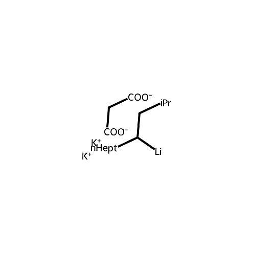 O=C([O-])CC(=O)[O-].[K+].[K+].[Li][CH](CCCCCCC)CC(C)C